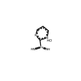 Cl.[NH]=[Fe](=[NH])[c]1ncccn1